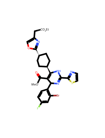 CCOC(=O)Cc1coc([C@H]2CC[C@H](C3=C(C(=O)OC)C(c4ccc(F)cc4Br)N=C(c4nccs4)N3)CC2)n1